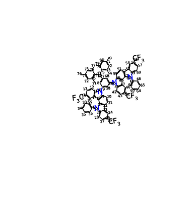 Cc1cc(C)c(B(c2cc(-n3c4ccc(C(F)(F)F)cc4c4c3ccc3c5cc(C(F)(F)F)ccc5n(-c5ccccc5)c34)cc(-n3c4ccc(C(F)(F)F)cc4c4c3ccc3c5cc(C(F)(F)F)ccc5n(-c5ccccc5)c34)c2)c2c(C)cc(C)cc2C)c(C)c1